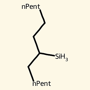 CCCCCCCC([SiH3])CCCCCC